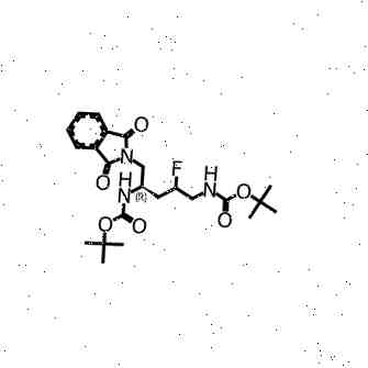 CC(C)(C)OC(=O)NCC(F)C[C@H](CN1C(=O)c2ccccc2C1=O)NC(=O)OC(C)(C)C